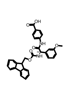 COc1cccc([C@H](NC(=O)OCC2c3ccccc3-c3ccccc32)C(=O)Nc2ccc(C(=O)O)cc2)c1